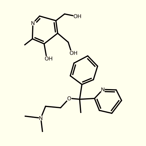 CN(C)CCOC(C)(c1ccccc1)c1ccccn1.Cc1ncc(CO)c(CO)c1O